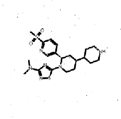 CN(C)c1nsc(N2CCC(C3CCNCC3)C[C@@H]2c2ccc(S(C)(=O)=O)nc2)n1